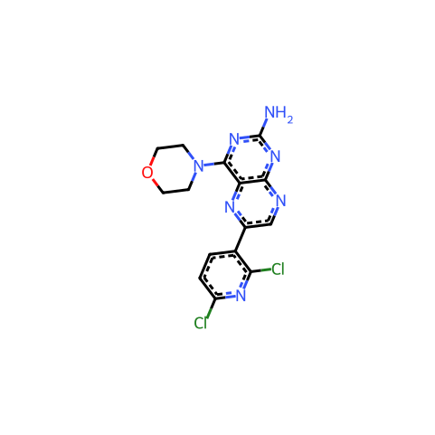 Nc1nc(N2CCOCC2)c2nc(-c3ccc(Cl)nc3Cl)cnc2n1